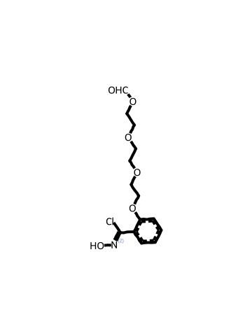 O=COCCOCCOCCOc1ccccc1/C(Cl)=N/O